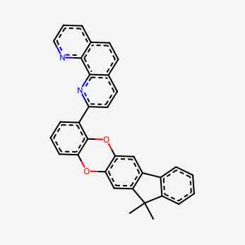 CC1(C)c2ccccc2-c2cc3c(cc21)Oc1cccc(-c2ccc4ccc5cccnc5c4n2)c1O3